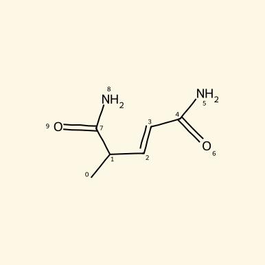 CC(C=CC(N)=O)C(N)=O